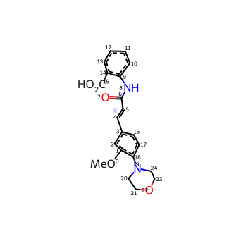 COc1cc(/C=C/C(=O)Nc2ccccc2C(=O)O)ccc1N1CCOCC1